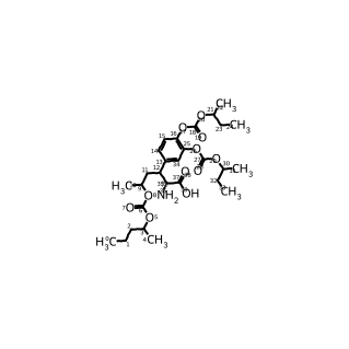 CCCC(C)OC(=O)OC(C)CC(c1ccc(OC(=O)OC(C)CC)c(OC(=O)OC(C)CC)c1)[C@H](N)C(=O)O